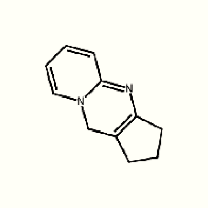 C1=CC2=NC3=C(CCC3)CN2C=C1